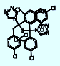 Clc1ccc(CC(SC(Cc2ccc(Cl)cc2Cl)(c2ccc(Cl)cc2Cl)n2cnnc2)(c2ccc(Cl)cc2Cl)n2cnnc2)c(Cl)c1